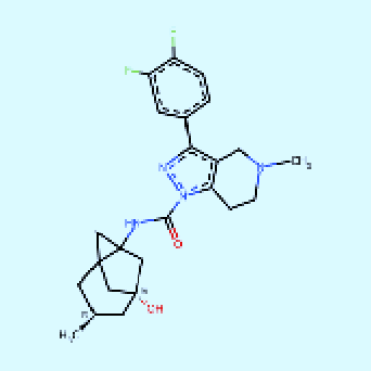 C[C@H]1CC23CC2(NC(=O)n2nc(-c4ccc(F)c(F)c4)c4c2CCN(C)C4)C[C@@](O)(C1)C3